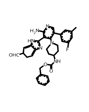 Cc1cc(F)cc(-c2cnc(N)c(-c3nc4c([nH]3)=CC(C=O)CC=4)c2N2CCC(NC(=O)OCc3ccccc3)CC2)c1